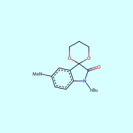 CCCCN1C(=O)C2(OCCCO2)c2cc(NC)ccc21